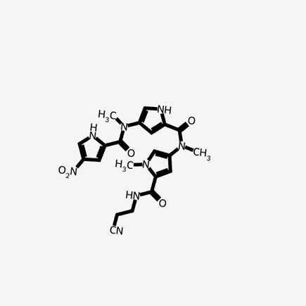 CN(C(=O)c1cc(N(C)C(=O)c2cc([N+](=O)[O-])c[nH]2)c[nH]1)c1cc(C(=O)NCCC#N)n(C)c1